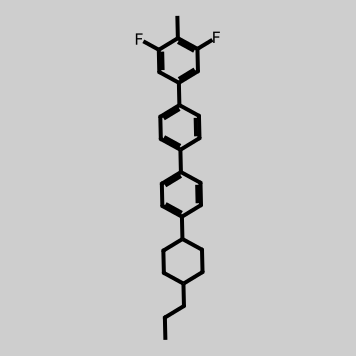 CCCC1CCC(c2ccc(-c3ccc(-c4cc(F)c(C)c(F)c4)cc3)cc2)CC1